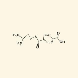 NC(N)CCOC(=O)c1ccc(C(=O)O)cc1